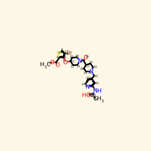 COC(=O)c1scc(Br)c1OC1CCN(C(=O)C2CCN(Cc3ccnc(NB(C)O)c3)CC2)CC1